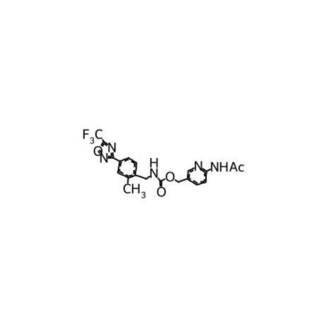 CC(=O)Nc1ccc(COC(=O)NCc2ccc(-c3noc(C(F)(F)F)n3)cc2C)cn1